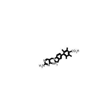 Cc1c(C)c(-c2ccc3c(c2)CCN3Cc2cnc(N)nc2N)c(C)c(C)c1C(=O)O